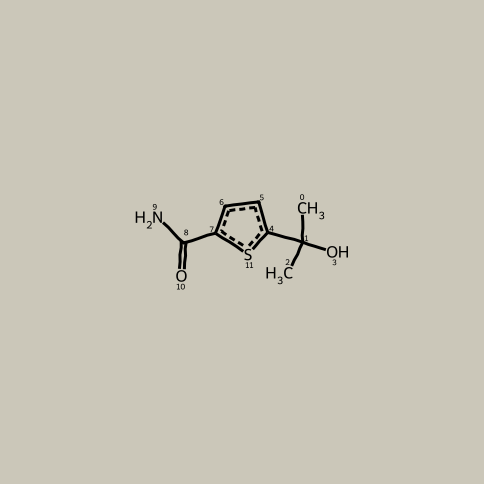 CC(C)(O)c1ccc(C(N)=O)s1